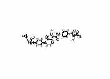 O=C(CC1CC1)Nc1ccc(N2CCO[C@H]([C@@H](O)C(=O)Nc3ccc(-c4noc(=O)[nH]4)cc3)C2=O)cc1